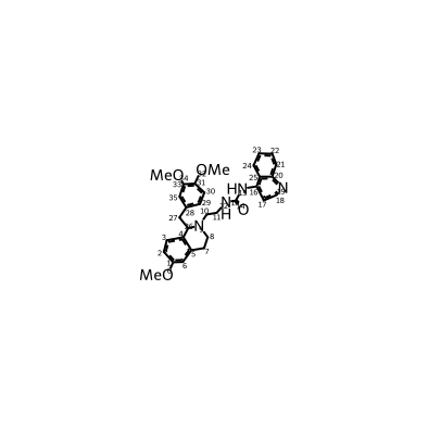 COc1ccc2c(c1)CCN(CCNC(=O)Nc1ccnc3ccccc13)C2Cc1ccc(OC)c(OC)c1